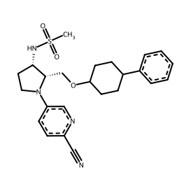 CS(=O)(=O)N[C@H]1CCN(c2ccc(C#N)nc2)[C@H]1COC1CCC(c2ccccc2)CC1